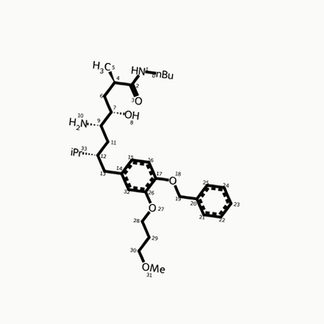 CCCCNC(=O)[C@H](C)C[C@H](O)[C@@H](N)C[C@H](Cc1ccc(OCc2ccccc2)c(OCCCOC)c1)C(C)C